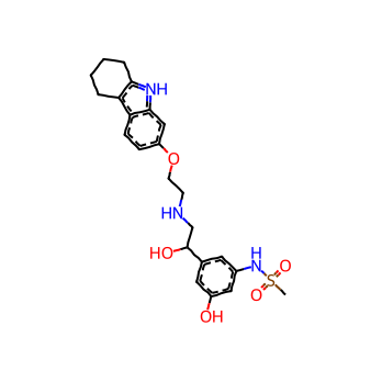 CS(=O)(=O)Nc1cc(O)cc(C(O)CNCCOc2ccc3c4c([nH]c3c2)CCCC4)c1